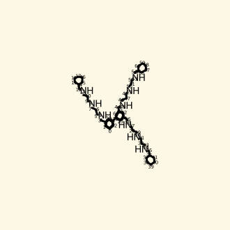 c1cc(CNCCCNCCCNCC2CCCCC2)cc(-c2cc(CNCCCNCCCNCC3CCCCC3)cc(CNCCCNCCCNCC3CCCCC3)c2)c1